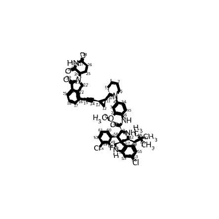 COc1cc(N2CCCC[C@H]2[C@H]2C[C@H]2C#Cc2cccc3c2CN(C2CCC(=O)NC2=O)C3=O)ccc1NC(=O)[C@@H]1N[C@@H](CC(C)(C)C)[C@@]2(CNc3cc(Cl)ccc32)[C@H]1c1cccc(Cl)c1F